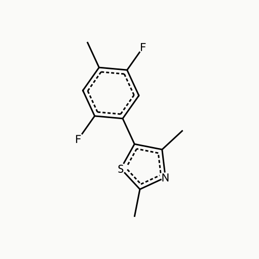 Cc1nc(C)c(-c2cc(F)c(C)cc2F)s1